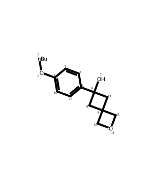 CCCCOc1ccc(C2(O)CC3(COC3)C2)cc1